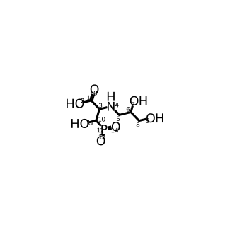 O=C(O)C(NCC(O)CO)C(O)P(=O)=O